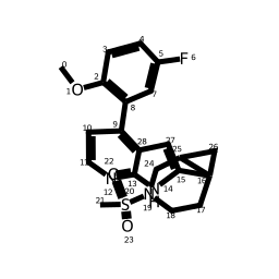 COc1ccc(F)cc1-c1ccnc2[nH]c(C34CCN(S(C)(=O)=O)CC3C4)cc12